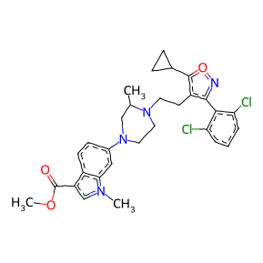 COC(=O)c1cn(C)c2cc(N3CCN(CCc4c(-c5c(Cl)cccc5Cl)noc4C4CC4)C(C)C3)ccc12